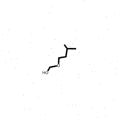 CC(C)CCOCO